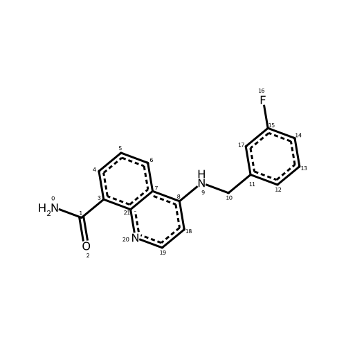 NC(=O)c1cccc2c(NCc3cccc(F)c3)ccnc12